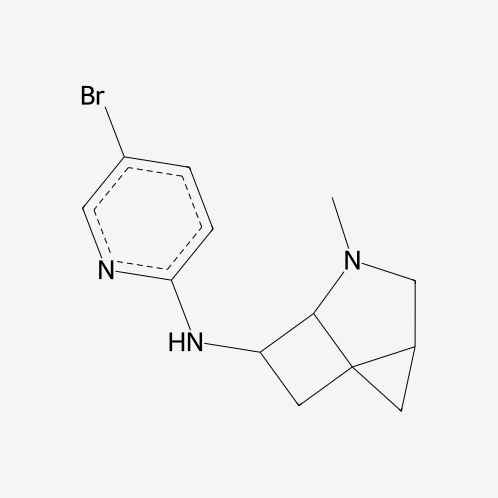 CN1CC2CC23CC(Nc2ccc(Br)cn2)C13